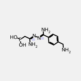 NCc1ccc(/C(N)=N/N=C(\N)CP(O)O)cc1